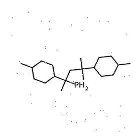 CC1CCC(C(C)(C)CC(C)(P)C2CCC(C)CC2)CC1